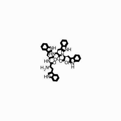 N[C@@H](Cc1c[nH]c2ccccc12)C(=O)N[C@@H](Cc1c[nH]c2ccccc12)C(=O)N[C@@H](Cc1c[nH]c2ccccc12)C(=O)N[C@@H](Cc1c[nH]c2ccccc12)C(=O)O